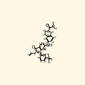 C=CCn1c(=O)c2cnc(Nc3ccc4c(c3)CCC(C(=O)N(C)C)C4)nc2n1-c1cccc(C(C)(C)C)n1